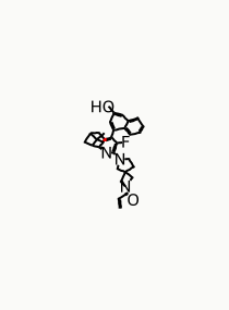 C=CC(=O)N1CC2(CCN(c3nc4c(c(-c5cc(O)cc6ccccc56)c3F)CC3CC4C3(C)C)C2)C1